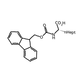 CCCCCCC[C@H](NC(=O)OCC1c2ccccc2-c2ccccc21)C(=O)O